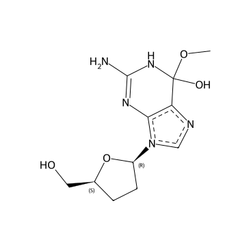 COC1(O)NC(N)=Nc2c1ncn2[C@H]1CC[C@@H](CO)O1